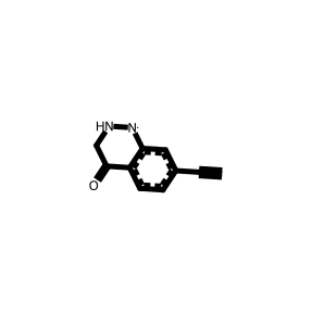 C#Cc1ccc2c(c1)[N]NCC2=O